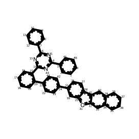 c1ccc(-c2nc(-c3ccccc3)nc(-c3ccccc3-c3ccc(-c4ccc5c(c4)oc4cc6ccccc6cc45)cc3)n2)cc1